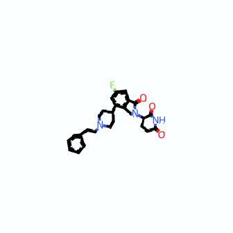 O=C1CCC(N2Cc3c(cc(F)cc3C3CCN(CCc4ccccc4)CC3)C2=O)C(=O)N1